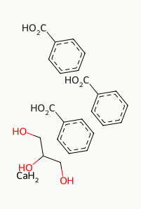 O=C(O)c1ccccc1.O=C(O)c1ccccc1.O=C(O)c1ccccc1.OCC(O)CO.[CaH2]